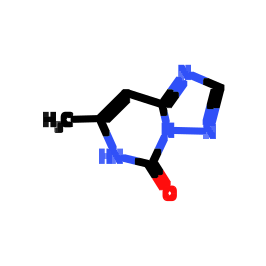 Cc1cc2ncnn2c(=O)[nH]1